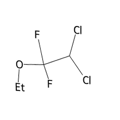 CCOC(F)(F)C(Cl)Cl